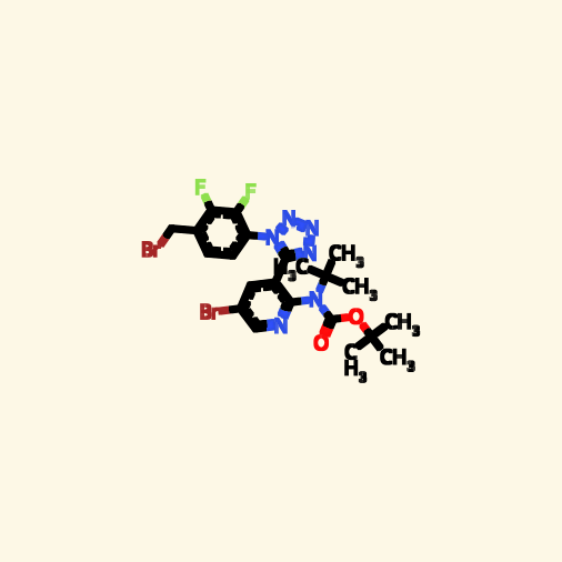 CC(C)(C)OC(=O)N(c1ncc(Br)cc1-c1nnnn1-c1ccc(CBr)c(F)c1F)C(C)(C)C